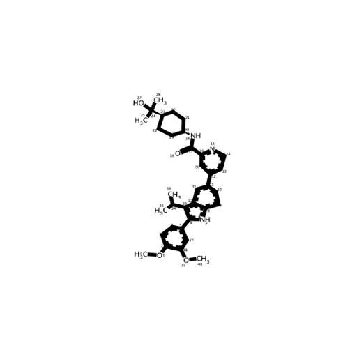 COc1ccc(-c2[nH]c3ccc(-c4ccnc(C(=O)N[C@H]5CC[C@H](C(C)(C)O)CC5)c4)cc3c2C(C)C)cc1OC